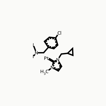 Clc1ccc(CN(I)I)cc1.Cn1ccn(CC2CC2)[c]1=[Pt]